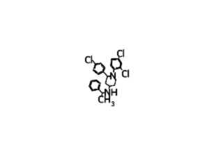 CC(NC1CCN(c2ccc(Cl)cc2Cl)C(c2ccc(Cl)cc2)C1)c1ccccc1